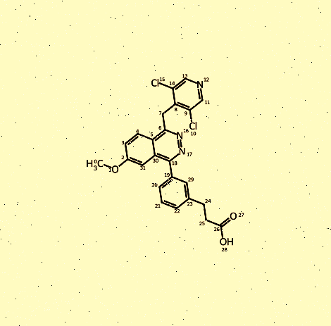 COc1ccc2c(Cc3c(Cl)cncc3Cl)nnc(-c3cccc(CCC(=O)O)c3)c2c1